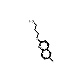 OCCCOc1ccc2cc(I)ccc2n1